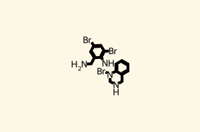 BrN1CNCc2ccccc21.NCc1cc(Br)cc(Br)c1N